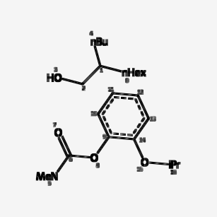 CCCCCCC(CO)CCCC.CNC(=O)Oc1ccccc1OC(C)C